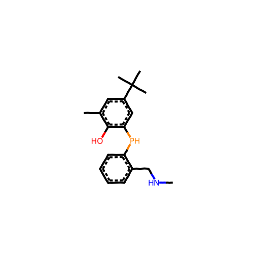 CNCc1ccccc1Pc1cc(C(C)(C)C)cc(C)c1O